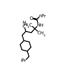 CCCC(=O)NC(C)(C)CC(C)CC1CCC(CC(C)C)CC1